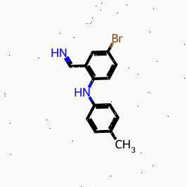 Cc1ccc(Nc2ccc(Br)cc2C=N)cc1